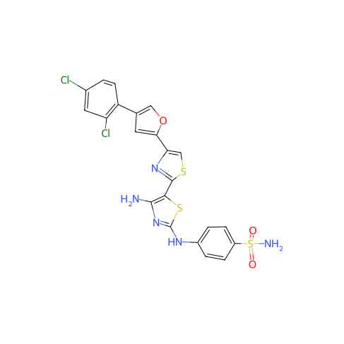 Nc1nc(Nc2ccc(S(N)(=O)=O)cc2)sc1-c1nc(-c2cc(-c3ccc(Cl)cc3Cl)co2)cs1